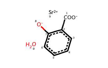 O.O=C([O-])c1ccccc1[O-].[Sr+2]